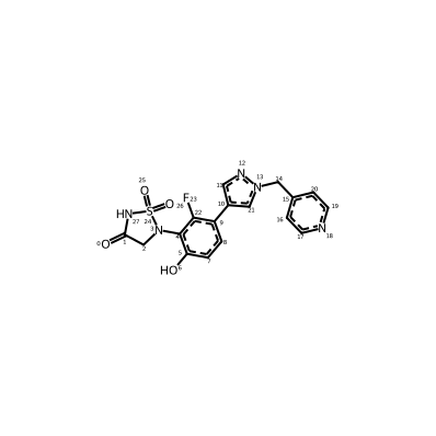 O=C1CN(c2c(O)ccc(-c3cnn(Cc4ccncc4)c3)c2F)S(=O)(=O)N1